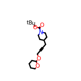 CC(C)(C)OC(=O)N1CCC(CC#CCOC2CCCCO2)CC1